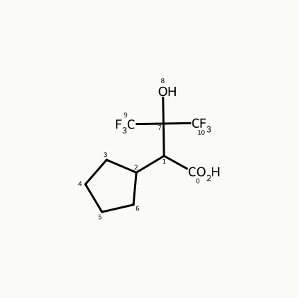 O=C(O)C(C1CCCC1)C(O)(C(F)(F)F)C(F)(F)F